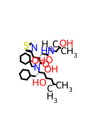 CC(C)C[C@H](O)[C@H](O)[C@H](CC1CCCCC1)N(CC1(O)CCCCC1)C(=O)[C@@H](CC(=O)NCC(C)(C)O)Cc1cscn1